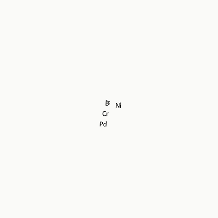 [B].[Cr].[Ni].[Pd]